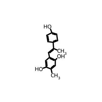 CC(=Cc1cc(O)c(C)cc1O)c1ccc(O)cc1